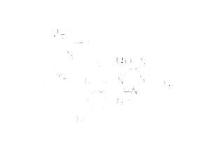 COC(=O)N[C@H]1CCN(c2cc(C#N)cc(Nc3nc(NC4CC4)c4ncc(C#N)n4n3)c2Cl)C[C@H]1NC(C)C